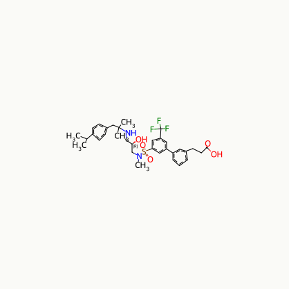 CC(C)c1ccc(CC(C)(C)NC[C@@H](O)CN(C)S(=O)(=O)c2cc(-c3cccc(CCC(=O)O)c3)cc(C(F)(F)F)c2)cc1